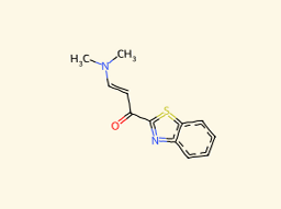 CN(C)C=CC(=O)c1nc2ccccc2s1